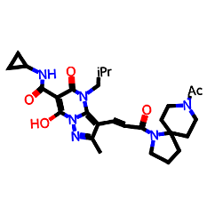 CC(=O)N1CCC2(CCCN2C(=O)C=Cc2c(C)nn3c(O)c(C(=O)NC4CC4)c(=O)n(CC(C)C)c23)CC1